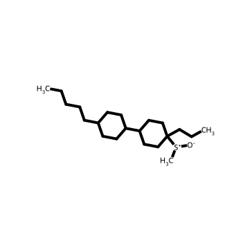 CCCCCC1CCC(C2CCC(CCC)([S+](C)[O-])CC2)CC1